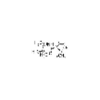 Cc1occc1C(=O)NC(C)C(C)C